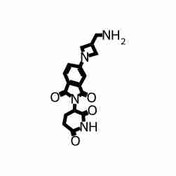 NCC1CN(c2ccc3c(c2)C(=O)N(C2CCC(=O)NC2=O)C3=O)C1